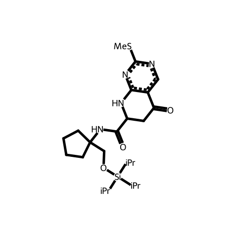 CSc1ncc2c(n1)NC(C(=O)NC1(CO[Si](C(C)C)(C(C)C)C(C)C)CCCC1)CC2=O